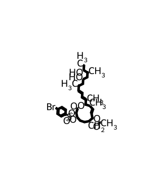 C=C1CCC(OS(=O)(=O)c2ccc(Br)cc2)CC(=O)OC(/C(C)=C/C=C/C(C)CC(O)CC(C)C(O)CC)C(C)/C=C/C1OC(C)=O